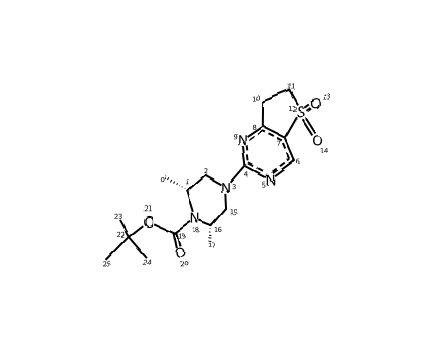 C[C@@H]1CN(c2ncc3c(n2)CCS3(=O)=O)C[C@H](C)N1C(=O)OC(C)(C)C